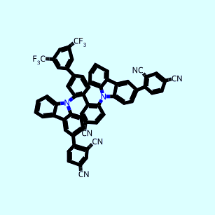 N#Cc1ccc(-c2ccc3c(c2)c2ccccc2n3-c2ccc(C#N)cc2-c2ccc(-c3cc(C(F)(F)F)cc(C(F)(F)F)c3)cc2-n2c3ccccc3c3cc(-c4ccc(C#N)cc4C#N)ccc32)c(C#N)c1